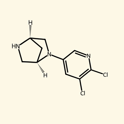 Clc1cc(N2C[C@H]3C[C@@H]2CN3)cnc1Cl